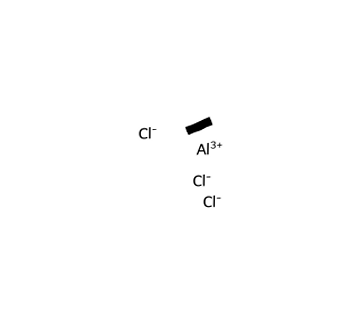 C=C.[Al+3].[Cl-].[Cl-].[Cl-]